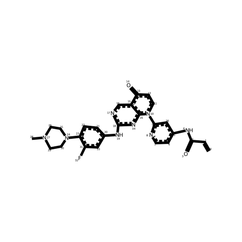 C=CC(=O)Nc1ccnc(-n2ccc(=O)c3cnc(Nc4ccc(N5CCN(C)CC5)c(F)c4)nc32)c1